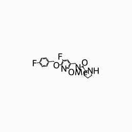 COc1nc(OCc2ccc(F)cc2)c(F)cc1CN(C)C(=O)[C@@H]1CCCN1